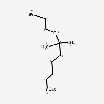 CCCCCCCCCCCCC(C)(C)OCCC(C)C